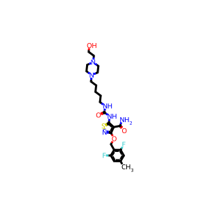 Cc1cc(F)c(COc2nsc(NC(=O)NCCCCCN3CCN(CCO)CC3)c2C(N)=O)c(F)c1